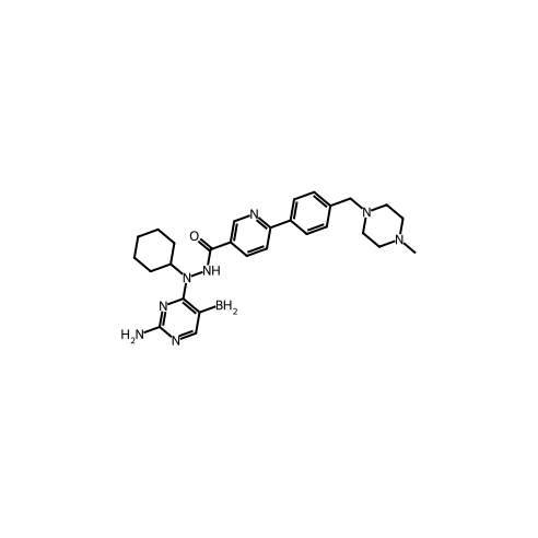 Bc1cnc(N)nc1N(NC(=O)c1ccc(-c2ccc(CN3CCN(C)CC3)cc2)nc1)C1CCCCC1